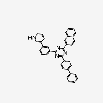 C1=CC(c2cccc(-c3nc(-c4ccc(-c5ccccc5)cc4)nc(-c4ccc5ccccc5c4)n3)c2)=CNC1